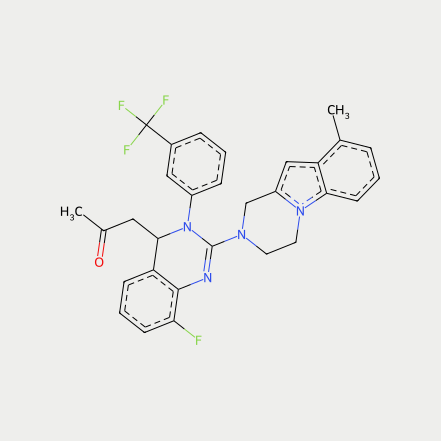 CC(=O)CC1c2cccc(F)c2N=C(N2CCn3c(cc4c(C)cccc43)C2)N1c1cccc(C(F)(F)F)c1